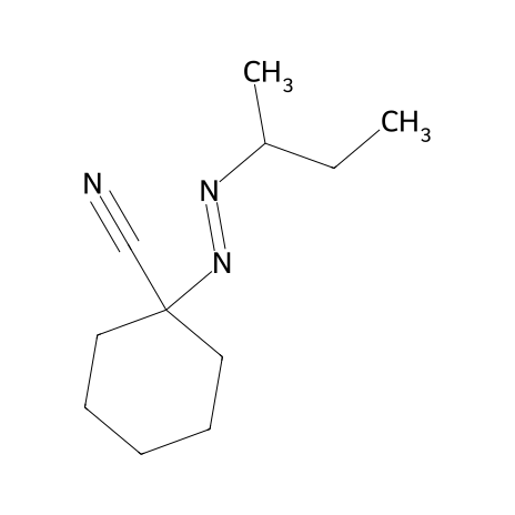 CCC(C)/N=N/C1(C#N)CCCCC1